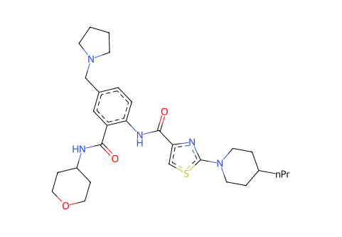 CCCC1CCN(c2nc(C(=O)Nc3ccc(CN4CCCC4)cc3C(=O)NC3CCOCC3)cs2)CC1